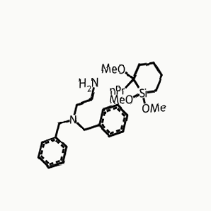 CCCC1(OC)CCCC[Si]1(OC)OC.NCCN(Cc1ccccc1)Cc1ccccc1